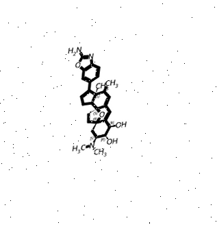 CC1C=C2C=C3[C@@H](O)[C@H](O)[C@@H](N(C)C)C[C@]34CC[C@]2(O4)C2CC=C(c3ccc4nc(N)oc4c3)[C@@]12C